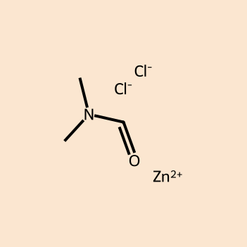 CN(C)C=O.[Cl-].[Cl-].[Zn+2]